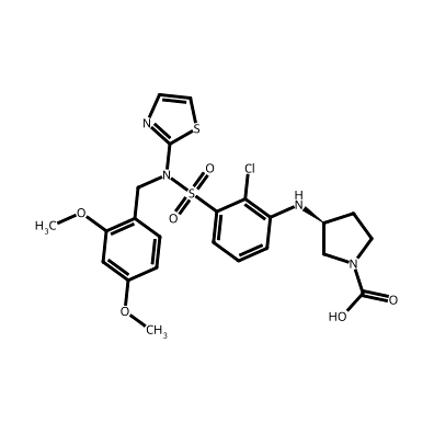 COc1ccc(CN(c2nccs2)S(=O)(=O)c2cccc(N[C@H]3CCN(C(=O)O)C3)c2Cl)c(OC)c1